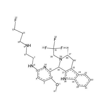 COc1ccc(NCCNCCCF)nc1C1c2[nH]c3ccccc3c2C[C@@H](C)N1CC(F)(F)F